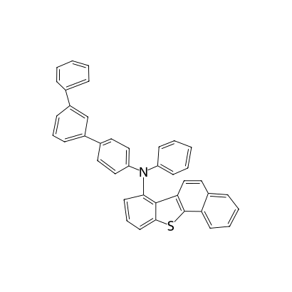 c1ccc(-c2cccc(-c3ccc(N(c4ccccc4)c4cccc5sc6c7ccccc7ccc6c45)cc3)c2)cc1